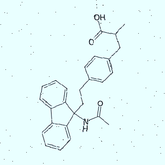 CC(=O)NC1(CCc2ccc(CC(C)C(=O)O)cc2)c2ccccc2-c2ccccc21